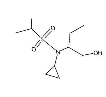 CC[C@H](CO)N(C1CC1)S(=O)(=O)C(C)C